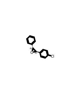 Clc1ccc([C@H]2O[C@@H]2c2ccccc2)cc1